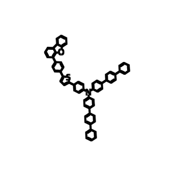 c1ccc(-c2ccc(-c3ccc(N(c4ccc(-c5ccc(-c6ccccc6)cc5)cc4)c4ccc(-c5ccc(-c6ccc(-c7cccc8c7oc7ccccc78)cc6)s5)cc4)cc3)cc2)cc1